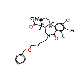 COC(=O)[C@]1(C)CCC[C@]2(C)c3cc(Cl)c(C(C)C)c(Cl)c3C(=O)N(CCCCOCc3ccccc3)CC12